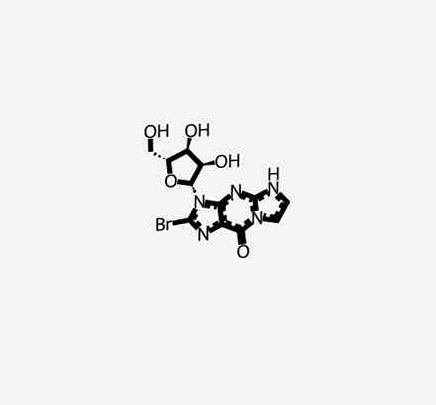 O=c1c2nc(Br)n([C@@H]3O[C@H](CO)[C@@H](O)[C@H]3O)c2nc2[nH]ccn12